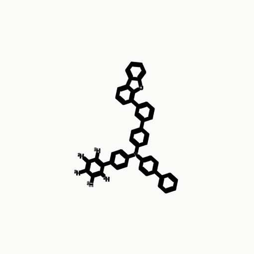 [2H]c1c([2H])c([2H])c(-c2ccc(N(c3ccc(-c4ccccc4)cc3)c3ccc(-c4cccc(-c5cccc6c5oc5ccccc56)c4)cc3)cc2)c([2H])c1[2H]